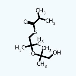 CC(C)C(=O)SCC(C)(C)OC(C)(C)CO